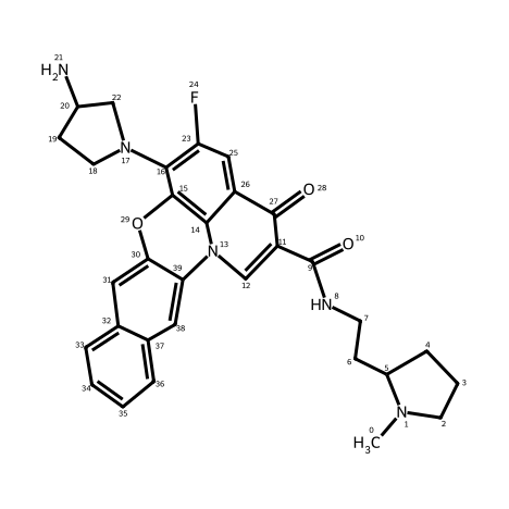 CN1CCCC1CCNC(=O)c1cn2c3c(c(N4CCC(N)C4)c(F)cc3c1=O)Oc1cc3ccccc3cc1-2